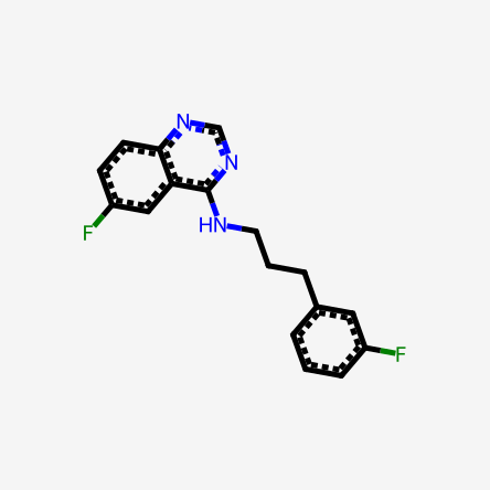 Fc1cccc(CCCNc2ncnc3ccc(F)cc23)c1